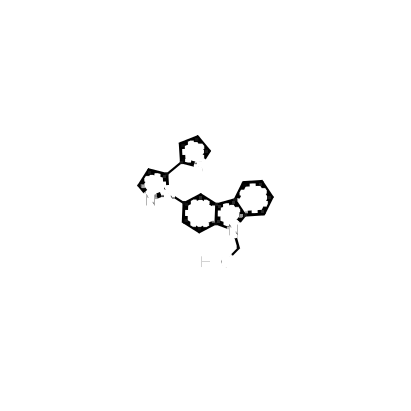 CCn1c2ccccc2c2cc(-n3nccc3-c3cccs3)ccc21